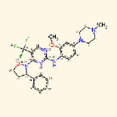 COc1cc(N2CCN(C)CC2)ccc1Nc1ncc(C(F)(F)F)c(N2OCCC2c2ccccc2)n1